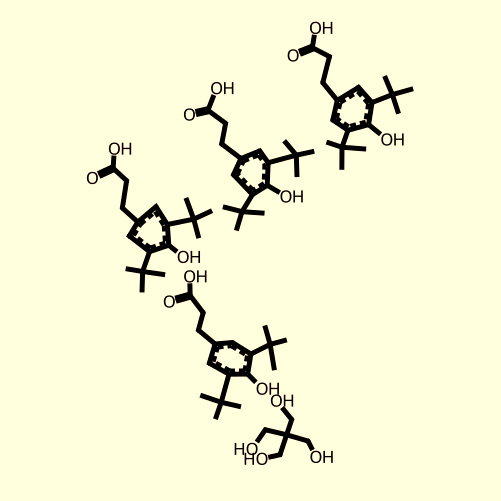 CC(C)(C)c1cc(CCC(=O)O)cc(C(C)(C)C)c1O.CC(C)(C)c1cc(CCC(=O)O)cc(C(C)(C)C)c1O.CC(C)(C)c1cc(CCC(=O)O)cc(C(C)(C)C)c1O.CC(C)(C)c1cc(CCC(=O)O)cc(C(C)(C)C)c1O.OCC(CO)(CO)CO